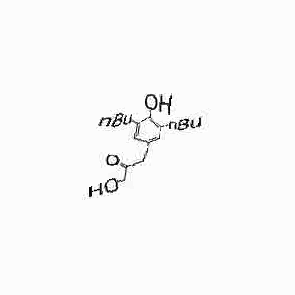 CCCCc1cc(CC(=O)CO)cc(CCCC)c1O